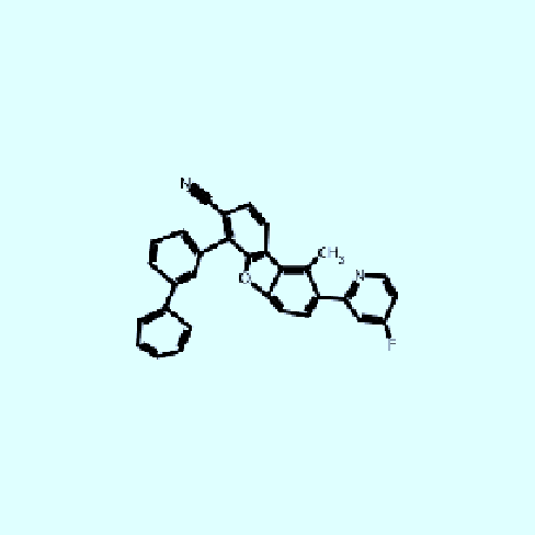 Cc1c(-c2cc(F)ccn2)ccc2oc3c(-c4cccc(-c5ccccc5)c4)c(C#N)ccc3c12